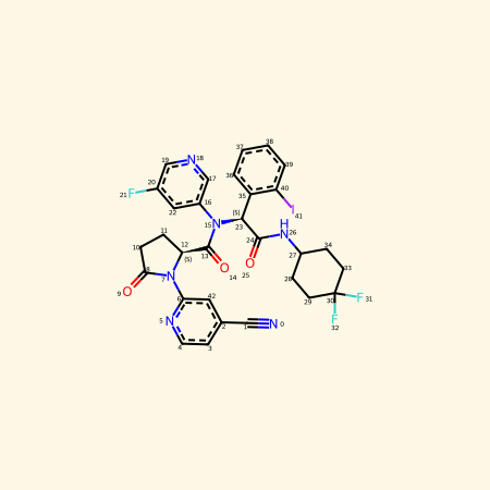 N#Cc1ccnc(N2C(=O)CC[C@H]2C(=O)N(c2cncc(F)c2)[C@H](C(=O)NC2CCC(F)(F)CC2)c2ccccc2I)c1